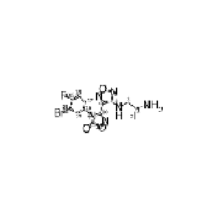 NC(I)CNc1nonc1-c1noc(=O)n1-c1ccc(F)c(Br)c1